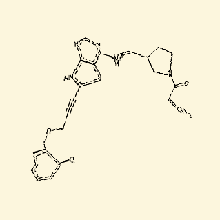 C=CC(=O)N1CCC(/C=N/c2ncnc3[nH]c(C#CCOc4ccccc4Cl)cc23)C1